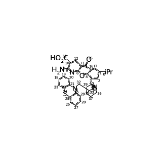 CC(C)c1ccc2oc3nc(N)c(C(=O)O)cc3c(=O)c2c1.c1ccc2c(c1)Sc1ccccc1N2CC1CN2CCC1CC2